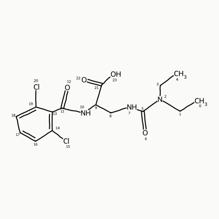 CCN(CC)C(=O)NCC(NC(=O)c1c(Cl)cccc1Cl)C(=O)O